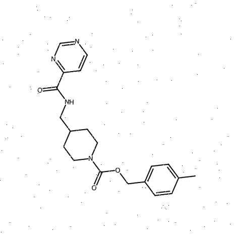 Cc1ccc(COC(=O)N2CCC(CNC(=O)c3ccncn3)CC2)cc1